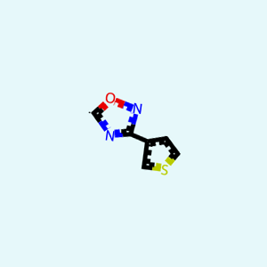 [c]1nc(-c2ccsc2)no1